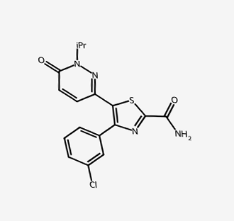 CC(C)n1nc(-c2sc(C(N)=O)nc2-c2cccc(Cl)c2)ccc1=O